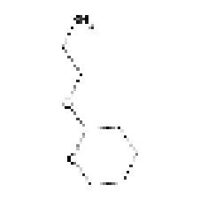 BCCOC1CCCCO1